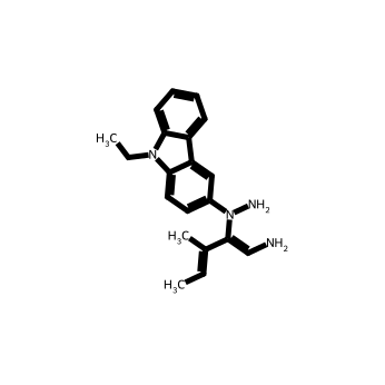 C/C=C(C)/C(=C/N)N(N)c1ccc2c(c1)c1ccccc1n2CC